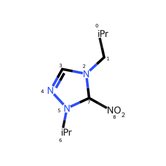 CC(C)CN1C=NN(C(C)C)C1[N+](=O)[O-]